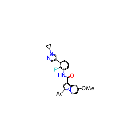 COc1ccn2c(C(C)=O)cc(C(=O)Nc3cccc(-c4cnn(C5CC5)c4)c3F)c2c1